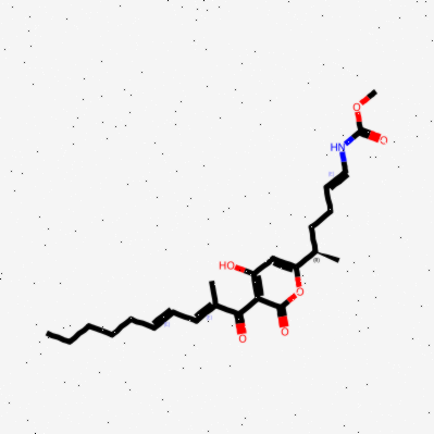 CCCCC/C=C/C=C(\C)C(=O)c1c(O)cc([C@H](C)CC/C=C/NC(=O)OC)oc1=O